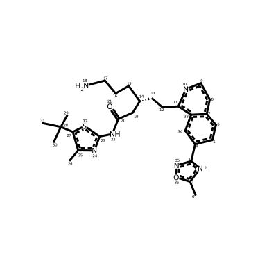 Cc1nc(-c2ccc3ccnc(CC[C@@H](CCCN)CC(=O)Nc4nc(C)c(C(C)(C)C)s4)c3c2)no1